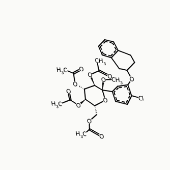 CO[C@@]1(c2ccc(Cl)c(OC3CCc4ccccc4C3)c2)O[C@H](COC(C)=O)[C@@H](OC(C)=O)[C@H](OC(C)=O)[C@H]1OC(C)=O